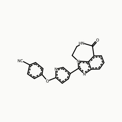 N#Cc1ccc(Oc2ccc(-c3nc4cccc5c4n3CCNC5=O)cn2)cc1